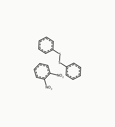 O=[N+]([O-])c1ccccc1[N+](=O)[O-].c1ccc(SSc2ccccc2)cc1